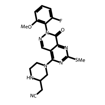 COc1cccc(F)c1-n1ncc2c(N3CCNC(CC#N)C3)nc(SC)nc2c1=O